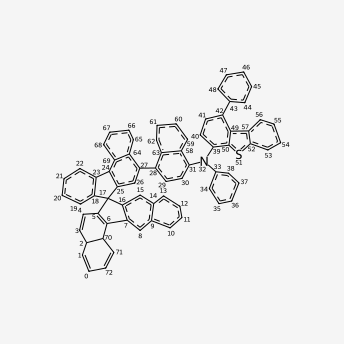 C1=CC2C=CC3=C(c4cc5ccccc5cc4C34c3ccccc3-c3c4cc(-c4ccc(N(c5ccccc5)c5ccc(-c6ccccc6)c6c5sc5ccccc56)c5ccccc45)c4ccccc34)C2C=C1